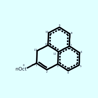 CCCCCCCCC1=Cc2cccc3cccc(c23)C1